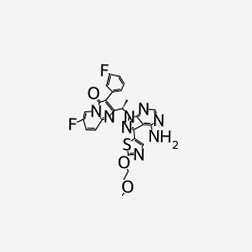 COCCOc1ncc(-c2nn([C@H](C)c3nc4ccc(F)cn4c(=O)c3-c3cccc(F)c3)c3ncnc(N)c23)s1